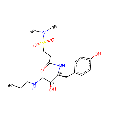 CCCN(CCC)S(=O)(=O)CCC(=O)N[C@@H](Cc1ccc(O)cc1)[C@@H](O)CNCCC(C)C